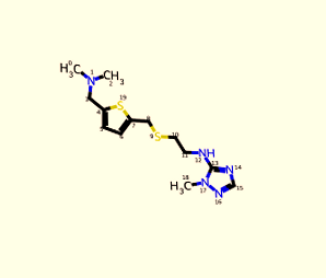 CN(C)Cc1ccc(CSCCNc2ncnn2C)s1